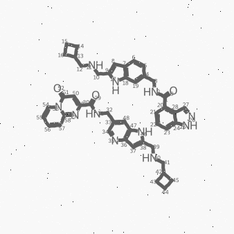 O=C(NCc1ccc2cc(CNCC3CCC3)[nH]c2c1)c1cccc2[nH]ncc12.O=C(NCc1cnc2cc(CNCC3CCC3)[nH]c2c1)c1cc(=O)n2ccccc2n1